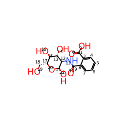 O=C(O)c1ccccc1C(=O)N[C@@H]1[C@@H](O)[C@H](O)[C@@H](CO)O[C@@H]1O